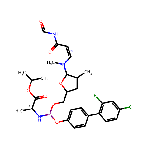 CC(C)OC(=O)[C@H](C)NP(OCC1CC(C)C(N(C)/C=C\C(=O)NC=O)O1)Oc1ccc(-c2ccc(Cl)cc2F)cc1